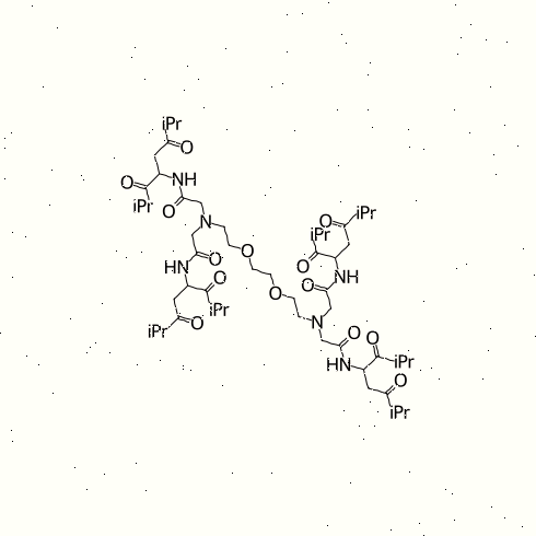 CC(C)C(=O)CC(NC(=O)CN(CCOCCOCCN(CC(=O)NC(CC(=O)C(C)C)C(=O)C(C)C)CC(=O)NC(CC(=O)C(C)C)C(=O)C(C)C)CC(=O)NC(CC(=O)C(C)C)C(=O)C(C)C)C(=O)C(C)C